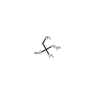 COC(C)(C)CN.Cl